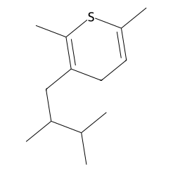 CC1=CCC(CC(C)C(C)C)=C(C)S1